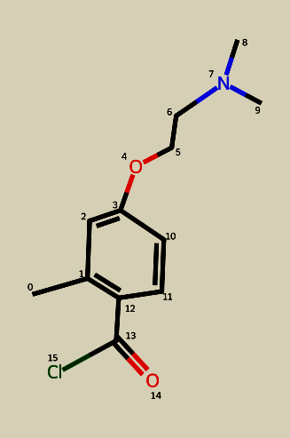 Cc1cc(OCCN(C)C)ccc1C(=O)Cl